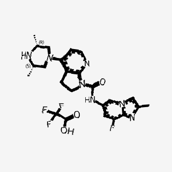 Cc1cn2cc(NC(=O)N3CCc4c(N5C[C@@H](C)N[C@@H](C)C5)ccnc43)cc(F)c2n1.O=C(O)C(F)(F)F